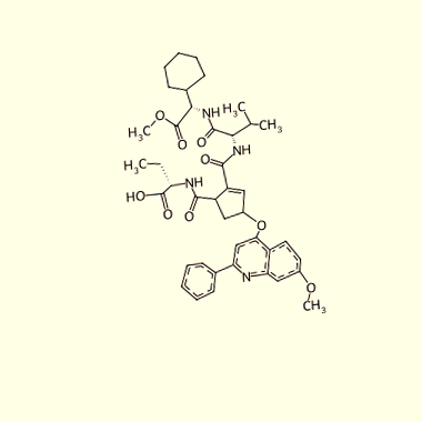 CC[C@H](NC(=O)C1CC(Oc2cc(-c3ccccc3)nc3cc(OC)ccc23)C=C1C(=O)N[C@H](C(=O)N[C@H](C(=O)OC)C1CCCCC1)C(C)C)C(=O)O